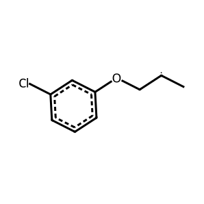 C[CH]COc1cccc(Cl)c1